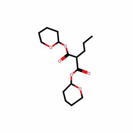 CCCC(C(=O)OC1CCCCO1)C(=O)OC1CCCCO1